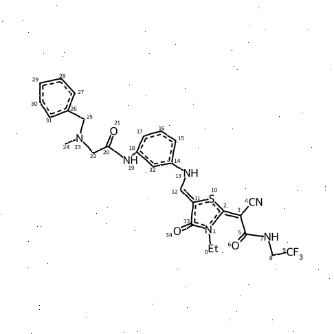 CCn1c(=C(C#N)C(=O)NCC(F)(F)F)sc(=CNc2cccc(NC(=O)CN(C)Cc3ccccc3)c2)c1=O